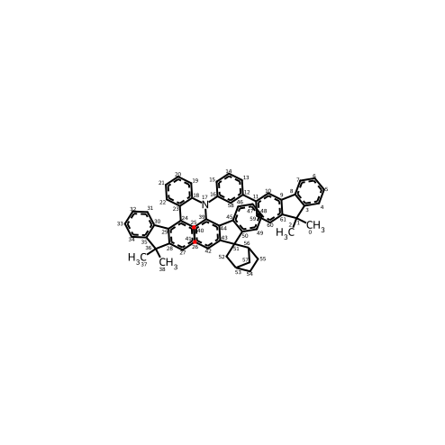 CC1(C)c2ccccc2-c2cc(-c3cccc(N(c4ccccc4-c4cccc5c4-c4ccccc4C5(C)C)c4cccc5c4-c4ccccc4C54CC5CCC4C5)c3)ccc21